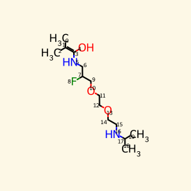 CC(C)=C(O)NCC(F)COCCOCCNC(C)C